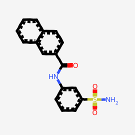 NS(=O)(=O)c1cccc(NC(=O)c2ccc3ccccc3c2)c1